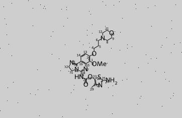 COc1c(OCCCN2CCOCC2)ccc2c1N=C(NC(=O)Oc1sc(N)nc1C)N1CCN=C21